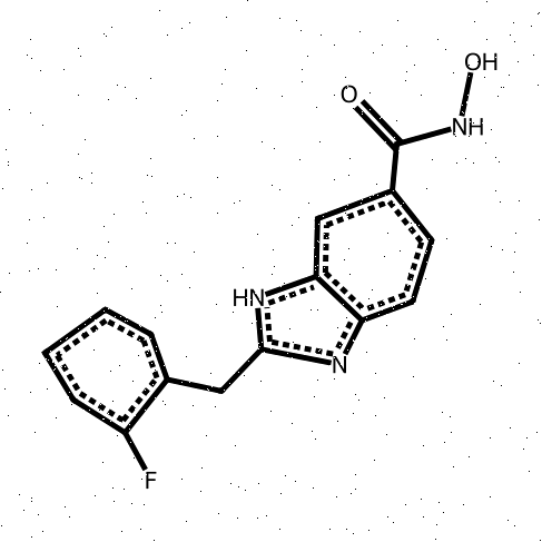 O=C(NO)c1ccc2nc(Cc3ccccc3F)[nH]c2c1